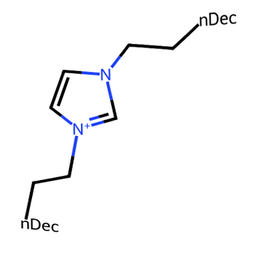 CCCCCCCCCCCCn1cc[n+](CCCCCCCCCCCC)c1